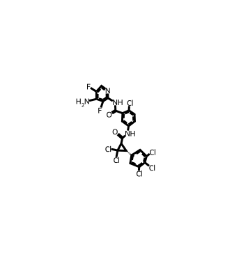 Nc1c(F)cnc(NC(=O)c2cc(NC(=O)C3[C@H](c4cc(Cl)c(Cl)c(Cl)c4)C3(Cl)Cl)ccc2Cl)c1F